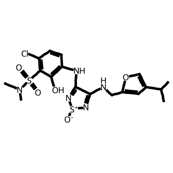 CC(C)c1coc(CNc2n[s+]([O-])nc2Nc2ccc(Cl)c(S(=O)(=O)N(C)C)c2O)c1